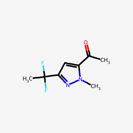 CC(=O)c1cc(C(C)(F)F)nn1C